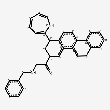 O=C(CNCc1ccccc1)C1C=c2c(ccc3c2=CCc2ccccc2-3)C(C2=CC=CC=CN2)C1